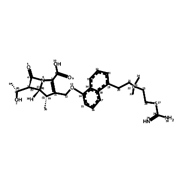 C[C@@H](O)[C@H]1C(=O)N2C(C(=O)O)=C(COc3cccc4c(CC[N+](C)(C)CCSC(=N)N)cccc34)[C@H](C)[C@H]12